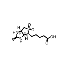 O=C(O)CCCC[C@H]1[C@H]2NC(=S)N[C@H]2CS1(=O)=O